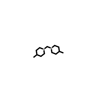 CC1CCN(CN2CCC(C)CC2)CC1